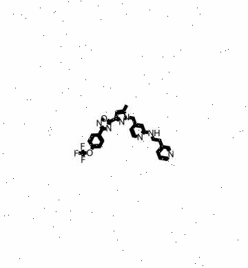 Cc1cc(-c2nc(-c3ccc(OC(F)(F)F)cc3)no2)nn1Cc1ccnc(NCCc2cccnc2)c1